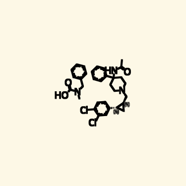 CC(=O)NC1(c2ccccc2)CCN(C[C@H]2C[C@@H]2c2ccc(Cl)c(Cl)c2)CC1.CN(Cc1ccccc1)C(=O)O